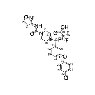 O=C(Nc1ccon1)N1CCN(Cc2cccc(Oc3ccc(Cl)cc3)c2)CC1.O=C(O)C(F)(F)F